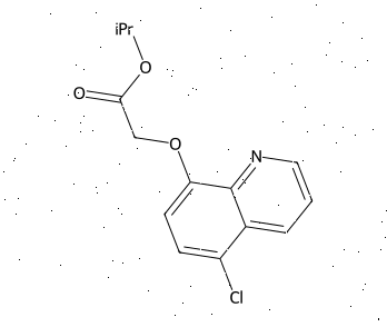 CC(C)OC(=O)COc1ccc(Cl)c2cccnc12